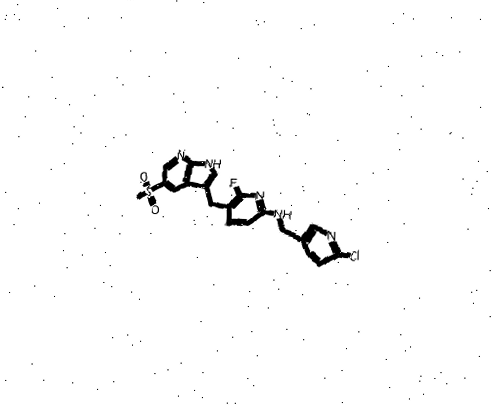 CS(=O)(=O)c1cnc2[nH]cc(Cc3ccc(NCc4ccc(Cl)nc4)nc3F)c2c1